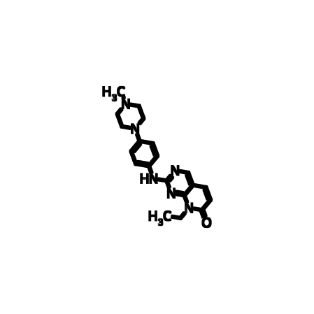 CCn1c(=O)ccc2cnc(Nc3ccc(N4CCN(C)CC4)cc3)nc21